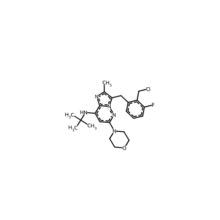 Cc1nc2c(NC(C)(C)C)cc(N3CCOCC3)nn2c1Cc1cccc(F)c1CCl